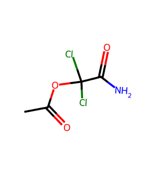 CC(=O)OC(Cl)(Cl)C(N)=O